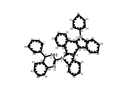 c1ccc(C2NC(n3c4ccccc4c4c5c6ccccc6n(-c6ccccc6)c5c5ccccc5c43)=Nc3ccccc32)cc1